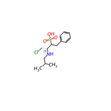 CC(C)CN[C@H](CCl)C(Cc1ccccc1)S(=O)(=O)O